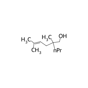 CCCC(C)(CO)CC=C(C)C